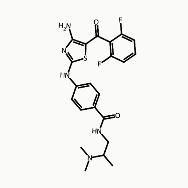 CC(CNC(=O)c1ccc(Nc2nc(N)c(C(=O)c3c(F)cccc3F)s2)cc1)N(C)C